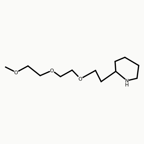 COCCOCCOCCC1CCCCN1